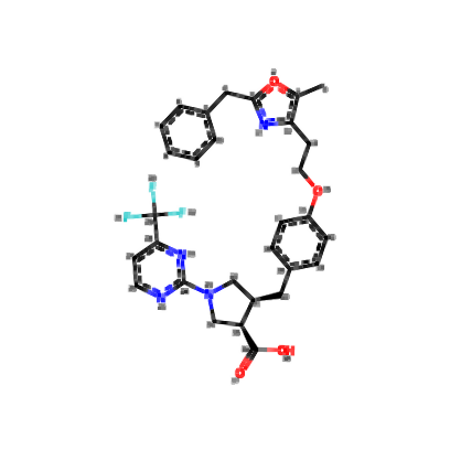 Cc1oc(Cc2ccccc2)nc1CCOc1ccc(C[C@@H]2CN(c3nccc(C(F)(F)F)n3)C[C@@H]2C(=O)O)cc1